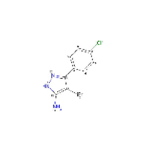 CC(C)c1c(-c2ccc(Cl)cc2)n[nH]c1N